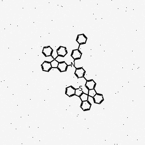 c1ccc(-c2ccc(N(c3ccc(-c4ccc5c(c4)C4(c6ccccc6-5)c5ccccc5-c5c4sc4ccccc54)cc3)c3ccc4c(c3)C(c3ccccc3)(c3ccccc3)c3ccccc3-4)cc2)cc1